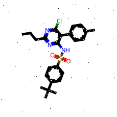 CCCc1nc(Cl)c(-c2ccc(C)cc2)c(NS(=O)(=O)c2ccc(C(C)(C)C)cc2)n1